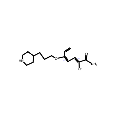 C=C/C(=C\C=C(/CC)C(N)=O)OCCCC1CCNCC1